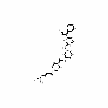 CN(C)C/C=C/C(=O)N1CCC(C(=O)N[C@H]2CCC[C@@H](Nc3ncc(Cl)c(/C(C=N)=C4\C=CC=CN4)n3)C2)CC1